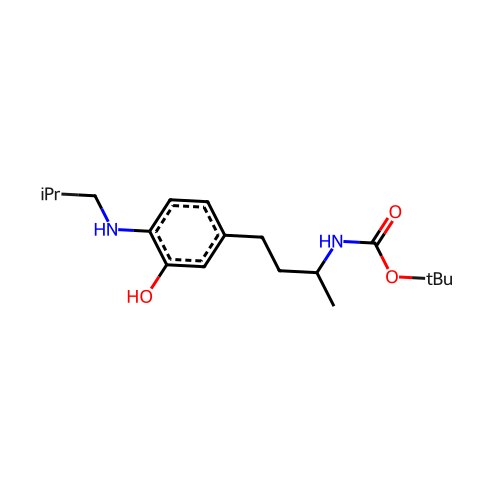 CC(C)CNc1ccc(CCC(C)NC(=O)OC(C)(C)C)cc1O